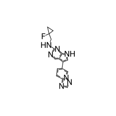 FC1(CNc2ncc3c(-c4ccc5ncnn5c4)c[nH]c3n2)CC1